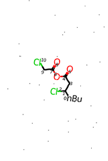 CCCCC(Cl)CC(=O)OC(=O)CCl